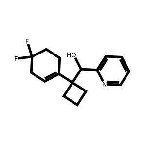 OC(c1ccccn1)C1(C2=CCC(F)(F)CC2)CCC1